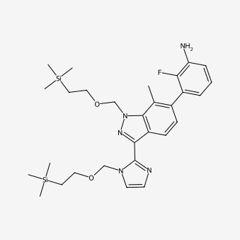 Cc1c(-c2cccc(N)c2F)ccc2c(-c3nccn3COCC[Si](C)(C)C)nn(COCC[Si](C)(C)C)c12